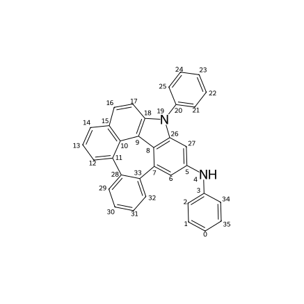 c1ccc(Nc2cc3c4c5c6c(cccc6ccc5n(-c5ccccc5)c4c2)-c2ccccc2-3)cc1